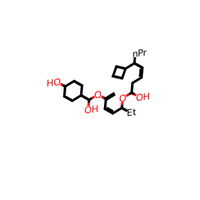 C=C(/C=C\C(CC)OC(O)C/C=C\C(CCC)C1CCC1)OC(O)C1CCC(O)CC1